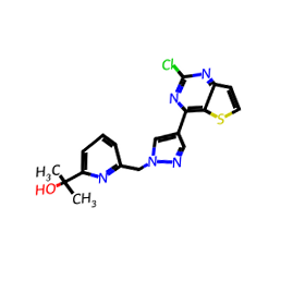 CC(C)(O)c1cccc(Cn2cc(-c3nc(Cl)nc4ccsc34)cn2)n1